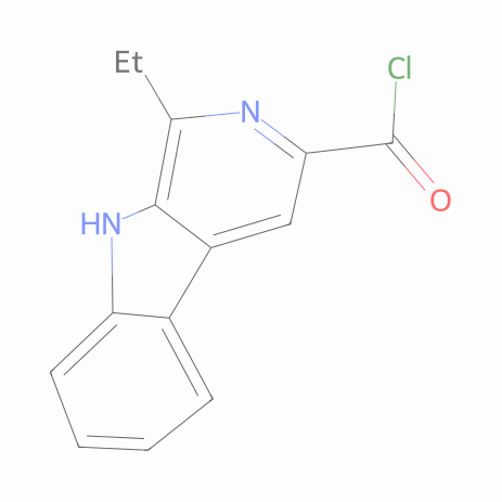 CCc1nc(C(=O)Cl)cc2c1[nH]c1ccccc12